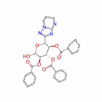 O=C(O[C@H]1[C@H](OC(=O)c2ccccc2)C(c2nc3ncccn3n2)OC(O)[C@@H]1OC(=O)c1ccccc1)c1ccccc1